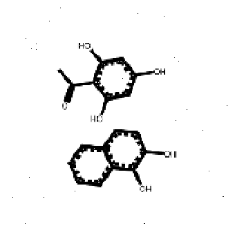 CC(=O)c1c(O)cc(O)cc1O.Oc1ccc2ccccc2c1O